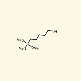 CO[Si](CCCCCO)(OC)OC